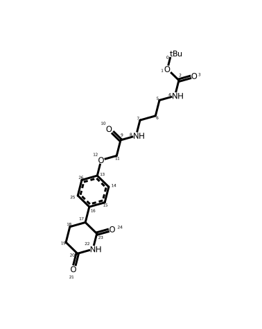 CC(C)(C)OC(=O)NCCCNC(=O)COc1ccc(C2CCC(=O)NC2=O)cc1